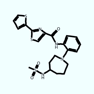 CS(=O)(=O)NC1CCCN(c2ccccc2NC(=O)c2csc(-c3cccs3)n2)CC1